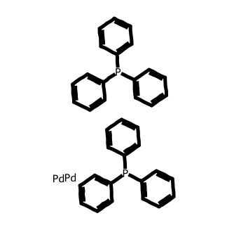 [Pd].[Pd].c1ccc(P(c2ccccc2)c2ccccc2)cc1.c1ccc(P(c2ccccc2)c2ccccc2)cc1